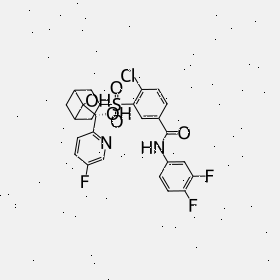 O=C(Nc1ccc(F)c(F)c1)c1ccc(Cl)c(S(=O)(=O)C2CC3CC(C2)C3(O)[C@H](O)c2ccc(F)cn2)c1